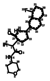 CC(C)C(C(=O)NC1CCOCC1)c1ccc(-c2ccc3cccc(F)c3c2)[nH]c1=O